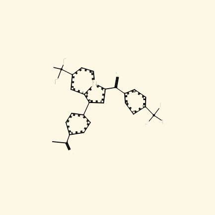 CC(=O)c1ccc(-c2cc(C(=O)c3ccc(C(F)(F)F)cc3)n3ccc(C(F)(F)F)cc23)cc1